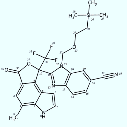 Cc1cc2c(c3cc[nH]c13)C(c1nc3ccc(C#N)cc3n1COCC[Si](C)(C)C)(C(F)(F)F)OC2=O